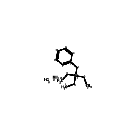 CC[N+](CC)(CC)Cc1ccccc1.Cl.N